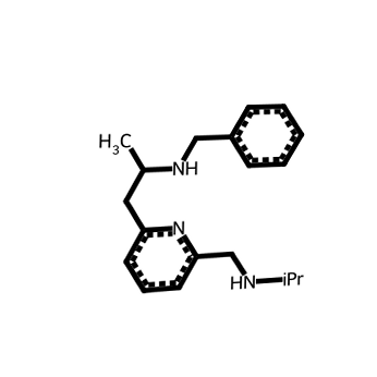 CC(C)NCc1cccc(CC(C)NCc2ccccc2)n1